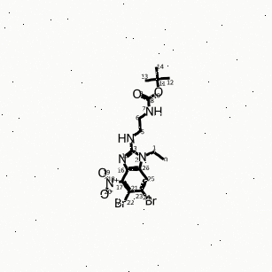 CCn1c(NCCNC(=O)OC(C)(C)C)nc2c([N+](=O)[O-])c(Br)c(Br)cc21